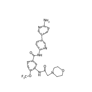 Nc1ccc(-c2ccc(NC(=O)c3ccc(OC(F)(F)F)c(NC(=O)CN4CCOCC4)c3)nc2)cn1